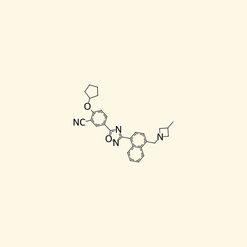 CC1CN(Cc2ccc(-c3noc(-c4ccc(OC5CCCC5)c(C#N)c4)n3)c3ccccc23)C1